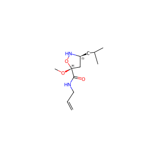 C=CCNC(=O)[C@@]1(OC)C[C@H](CC(C)C)NO1